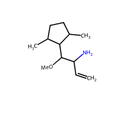 C=CC(N)C(OC)C1C(C)CCC1C